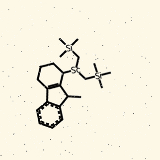 CC1C2=C(CCC[CH]2[Sc]([CH2][Si](C)(C)C)[CH2][Si](C)(C)C)c2ccccc21